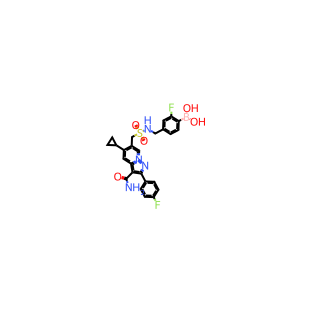 NC(=O)c1c(-c2ccc(F)cc2)nn2cc(CS(=O)(=O)NCc3ccc(B(O)O)c(F)c3)c(C3CC3)cc12